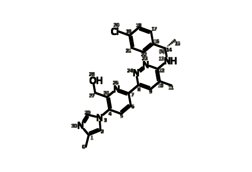 Cc1cn(-c2ccc(-c3cc(C)c(N[C@@H](C)c4ccc(Cl)cc4)nn3)nc2CO)cn1